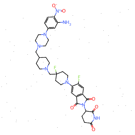 Nc1cc(N2CCN(CC3CCN(CC4(F)CCN(c5cc6c(cc5F)C(=O)N(C5CCC(=O)NC5=O)C6=O)CC4)CC3)CC2)ccc1[N+](=O)[O-]